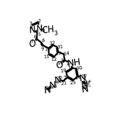 Cn1ccnc1C(=O)C=Cc1ccc(CC(=O)Nc2cc(CN=[N+]=[N-])cc(N=[N+]=[N-])c2)cc1